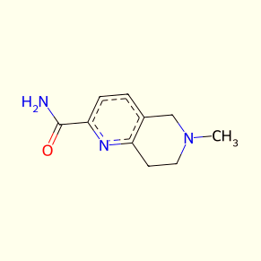 CN1CCc2nc(C(N)=O)ccc2C1